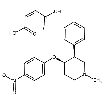 CN1CC[C@@H](Oc2ccc([N+](=O)[O-])cc2)[C@@H](c2ccccc2)C1.O=C(O)/C=C\C(=O)O